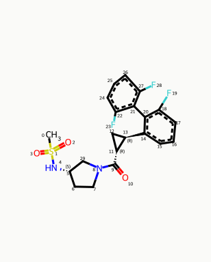 CS(=O)(=O)N[C@H]1CCN(C(=O)[C@@H]2C[C@H]2c2cccc(F)c2-c2c(F)cccc2F)C1